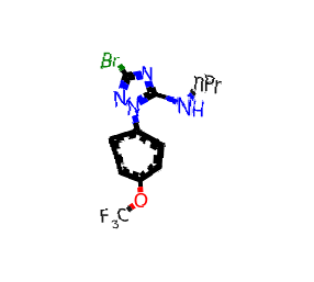 CCCNc1nc(Br)nn1-c1ccc(OC(F)(F)F)cc1